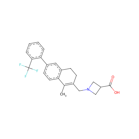 CC1=C(CN2CC(C(=O)O)C2)CCc2cc(-c3ccccc3C(F)(F)F)ccc21